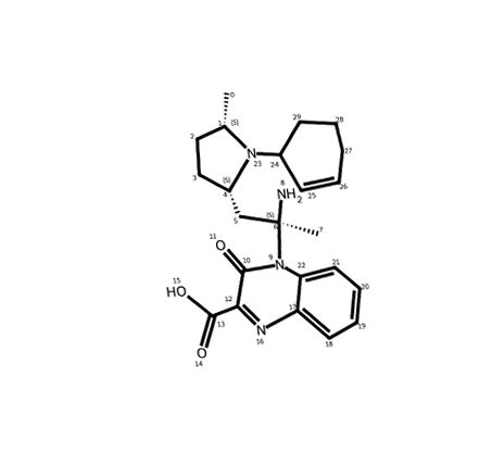 C[C@H]1CC[C@@H](C[C@@](C)(N)n2c(=O)c(C(=O)O)nc3ccccc32)N1C1C=CCCC1